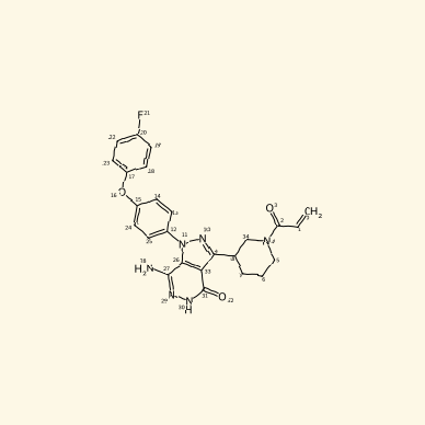 C=CC(=O)N1CCCC(c2nn(-c3ccc(Oc4ccc(F)cc4)cc3)c3c(N)n[nH]c(=O)c23)C1